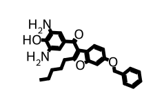 CCCCCc1oc2cc(OCc3ccccc3)ccc2c1C(=O)c1cc(N)c(O)c(N)c1